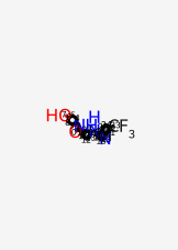 O=C(NC1CCC(O)CC1)c1cccc(Nc2ccnc3cc(C(F)(F)F)ccc23)c1